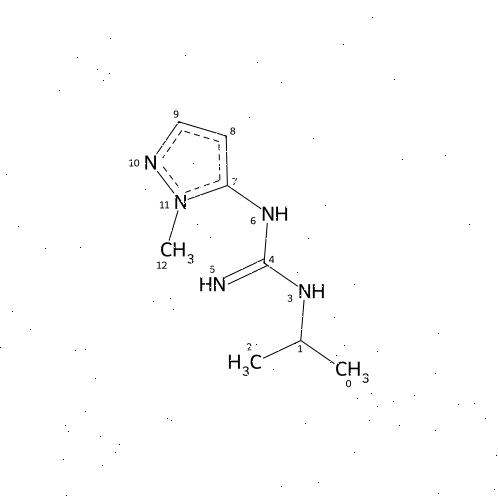 CC(C)NC(=N)Nc1ccnn1C